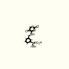 CC(C)(C)N(C(=O)O)c1cccc(CNc2nc(Cl)ncc2Cl)c1